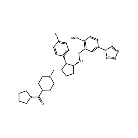 COc1ccc(-n2cnnn2)cc1CN[C@H]1CC[C@H](CN2CCC(C(=O)N3CCCC3)CC2)[C@H]1c1ccc(F)cc1